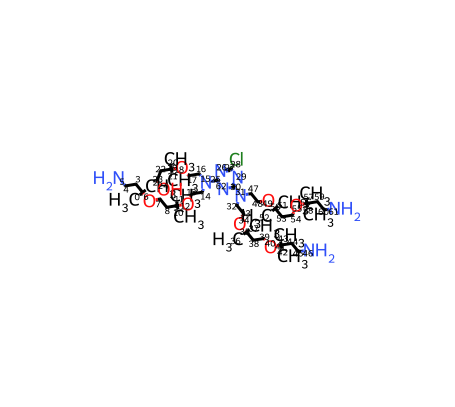 CC(C)(CCN)OCCC(C)(C)OCCN(CCOC(C)(C)CCO)c1nc(Cl)nc(N(CCOC(C)(C)CCOC(C)(C)CCN)CCOC(C)(C)CCOC(C)(C)CCN)n1